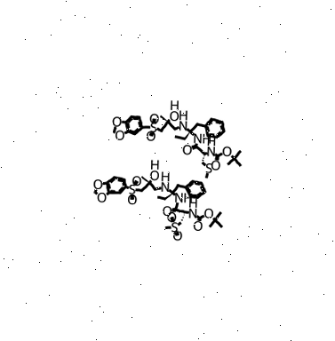 CC[C@](Cc1ccccc1)(NC[C@@](C)(O)CS(=O)(=O)c1ccc2c(c1)OCO2)NC(=O)[C@@H](CS(C)(=O)=O)NC(=O)OC(C)(C)C.CC[C@](Cc1ccccc1)(NC[C@@](C)(O)CS(=O)(=O)c1ccc2c(c1)OCO2)NC(=O)[C@@H](CSC)NC(=O)OC(C)(C)C